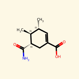 C[C@H]1[C@H](C)C=C(C(=O)O)C[C@@H]1C(N)=O